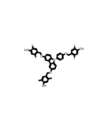 Oc1cc(I)c(COc2ccc(-[s+]3c4ccc(OCc5cc(I)c(O)cc5I)cc4c4cc(OCc5cc(I)c(O)cc5I)ccc43)cc2)cc1I